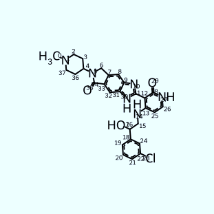 CN1CCC(N2Cc3cc4nc(-c5c(NCC(O)c6cccc(Cl)c6)cc[nH]c5=O)[nH]c4cc3C2=O)CC1